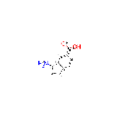 N[C@@H]1CCc2ccc(C(=O)O)cc21